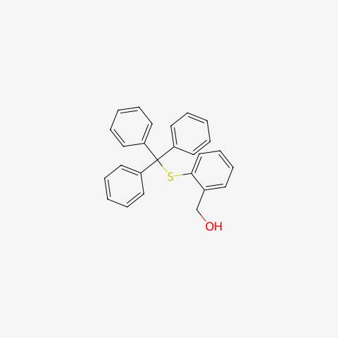 OCc1ccccc1SC(c1ccccc1)(c1ccccc1)c1ccccc1